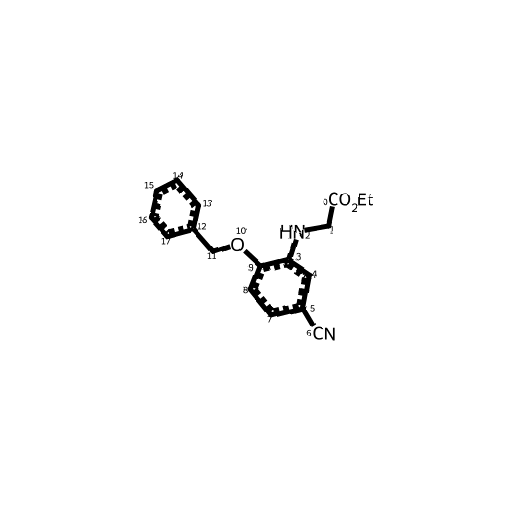 CCOC(=O)CNc1cc(C#N)ccc1OCc1ccccc1